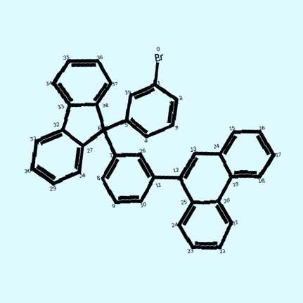 Brc1cccc(C2(c3cccc(-c4cc5ccccc5c5ccccc45)c3)c3ccccc3-c3ccccc32)c1